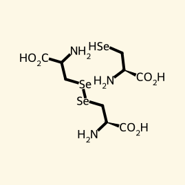 NC(C[Se][Se]C[C@H](N)C(=O)O)C(=O)O.N[C@@H](C[SeH])C(=O)O